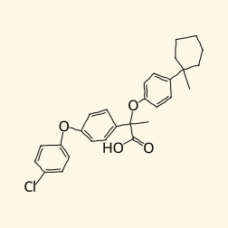 CC1(c2ccc(OC(C)(C(=O)O)c3ccc(Oc4ccc(Cl)cc4)cc3)cc2)CCCCC1